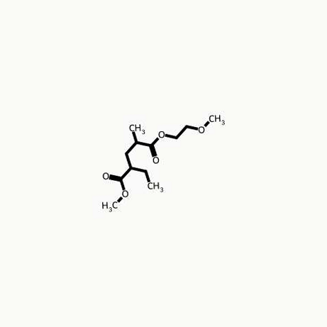 CCC(CC(C)C(=O)OCCOC)C(=O)OC